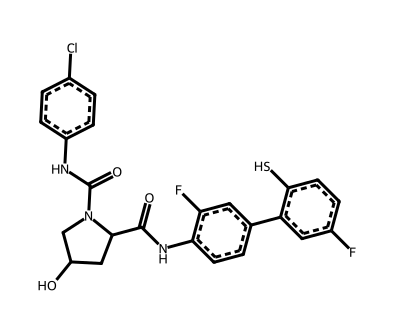 O=C(Nc1ccc(-c2cc(F)ccc2S)cc1F)C1CC(O)CN1C(=O)Nc1ccc(Cl)cc1